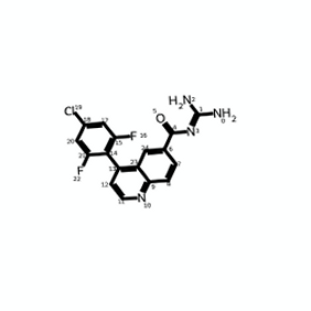 NC(N)=NC(=O)c1ccc2nccc(-c3c(F)cc(Cl)cc3F)c2c1